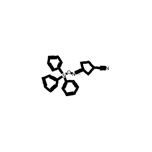 N#CC1CC/C(=N\O[Si](c2ccccc2)(c2ccccc2)c2ccccc2)C1